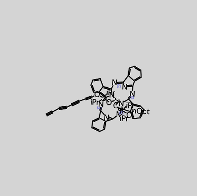 C#CC#CC#CC#CO[Si](O[Si]1(O[Si](OCCCCCCCC)(C(C)C)C(C)C)n2c3c4ccccc4c2/N=C2N=C(/N=c4/c5ccccc5/c(n41)=N/C1=NC(=N\3)/c3ccccc31)c1ccccc1\2)(C(C)C)C(C)C